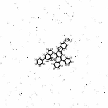 CC(C)(C)c1ccc2c(c1)[C]=c1c-2cc(=C(c2ccccc2)c2ccccc2)c(C(C)(C)C)c1C1C=Cc2cc(-c3ccccc3)ccc21